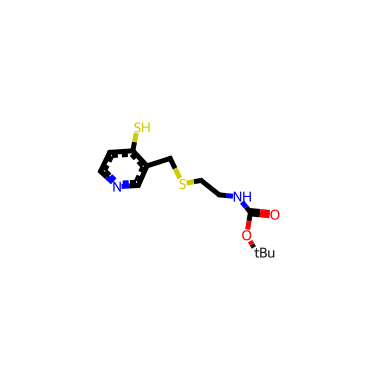 CC(C)(C)OC(=O)NCCSCc1cnccc1S